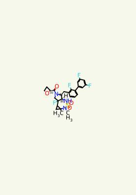 CN1C2(C)CC2C2(F)CN(C(=O)[C@@H]3CCO3)[C@@H](Cc3cccc(-c4cc(F)cc(F)c4)c3F)[C@H]2NS1(=O)=O